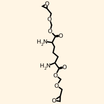 NC(CCCC(N)C(=O)OCOCC1CO1)C(=O)OCOCC1CO1